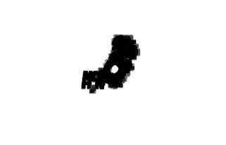 CC1(C)c2ccccc2-c2cc(N3c4ccccc4C(C)(C)c4ccccc43)ccc2CCc2cc(C#N)c(N)cc2-c2ccccc21